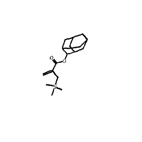 C=C(C[Si](C)(C)C)C(=O)OC1C2CC3CC(C2)CC1C3